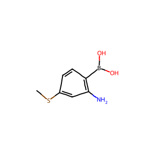 CSc1ccc(B(O)O)c(N)c1